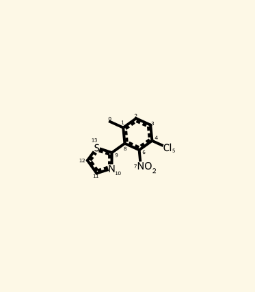 Cc1ccc(Cl)c([N+](=O)[O-])c1-c1nccs1